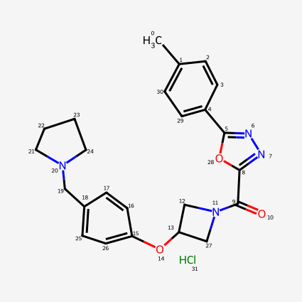 Cc1ccc(-c2nnc(C(=O)N3CC(Oc4ccc(CN5CCCC5)cc4)C3)o2)cc1.Cl